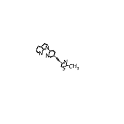 Cc1nc(C#Cc2ccc(-n3ccc4cccnc43)nc2)cs1